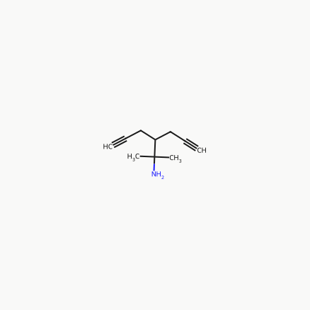 C#CCC(CC#C)C(C)(C)N